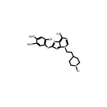 COc1cc(C#N)c(Sc2nc3c(N)ncn(CCC4CCN(C(C)=O)CC4)c-3n2)cc1OC